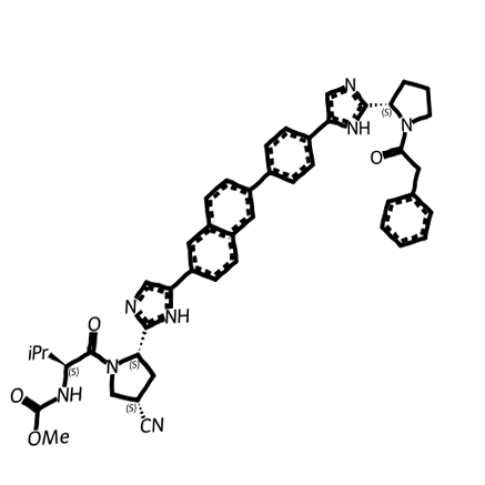 COC(=O)N[C@H](C(=O)N1C[C@@H](C#N)C[C@H]1c1ncc(-c2ccc3cc(-c4ccc(-c5cnc([C@@H]6CCCN6C(=O)Cc6ccccc6)[nH]5)cc4)ccc3c2)[nH]1)C(C)C